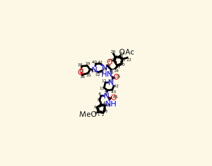 COc1ccc2c(c1)CCN(C1CCN(C(=O)N[C@H](Cc3cc(C)c(OC(C)=O)c(C)c3)C(=O)N3CCN(C4CCOCC4)CC3)CC1)C(=O)N2